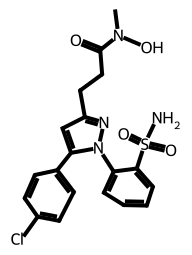 CN(O)C(=O)CCc1cc(-c2ccc(Cl)cc2)n(-c2ccccc2S(N)(=O)=O)n1